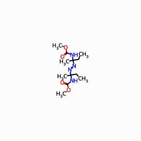 CCC(C)(N=NC(C)(CC)NC(=O)OC)NC(=O)OC